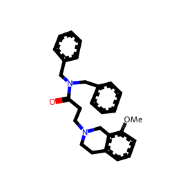 COc1cccc2c1CN(CCC(=O)N(Cc1ccccc1)Cc1ccccc1)CC2